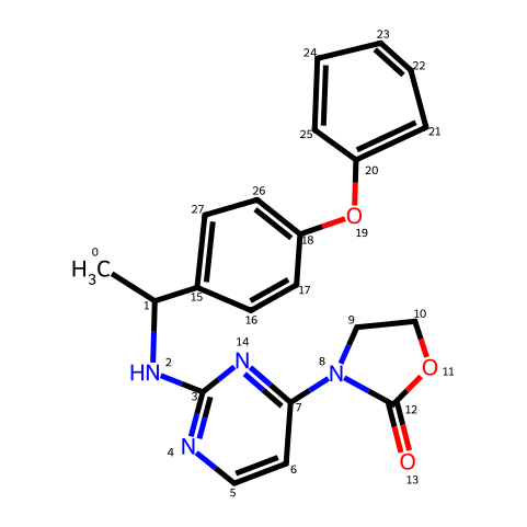 CC(Nc1nccc(N2CCOC2=O)n1)c1ccc(Oc2ccccc2)cc1